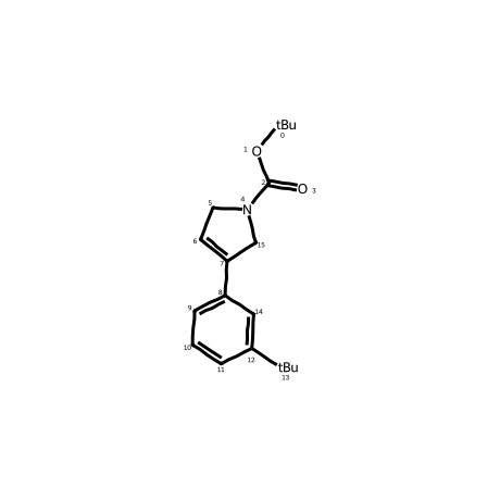 CC(C)(C)OC(=O)N1CC=C(c2cccc(C(C)(C)C)c2)C1